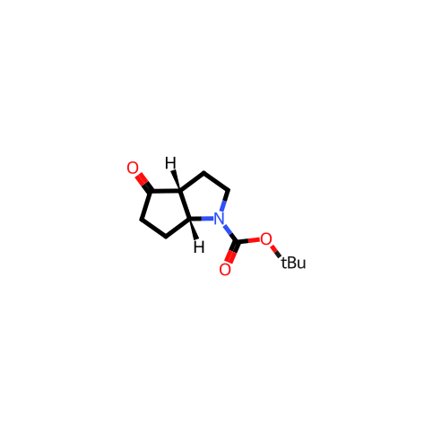 CC(C)(C)OC(=O)N1CC[C@H]2C(=O)CC[C@H]21